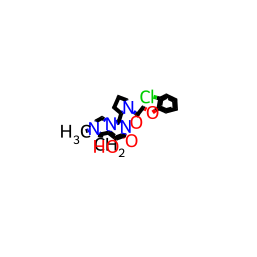 C=C1c2c(O)c(=O)nc(C3CCCN3C(=O)COc3ccccc3Cl)n2CCN1C